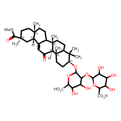 COC(=O)[C@@]1(C)CC[C@]2(C)CCC3C(=CC(=O)[C@H]4[C@@]3(C)CCC3C(C)(C)[C@@H](OC5OC(C(=O)O)C(O)C(O)C5OC5OC(C(=O)O)C(O)C(O)C5O)CC[C@@]34C)[C@@H]2C1